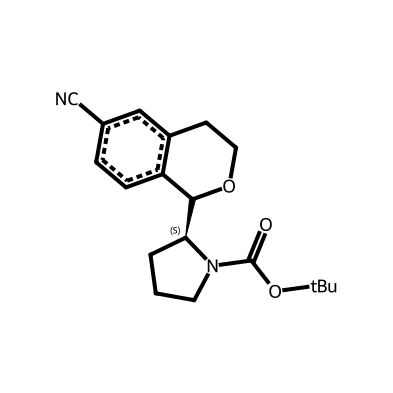 CC(C)(C)OC(=O)N1CCC[C@H]1C1OCCc2cc(C#N)ccc21